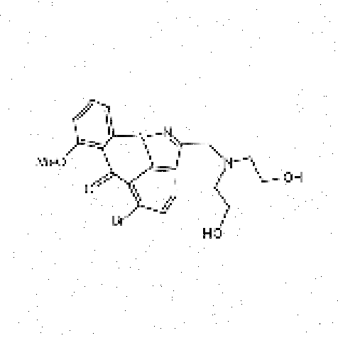 COc1cccc2c1c(=O)c1c(Br)ccc3c(CN(CCO)CCO)nn2c31